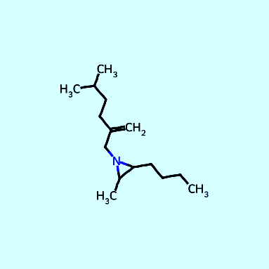 C=C(CCC(C)C)CN1C(C)C1CCCC